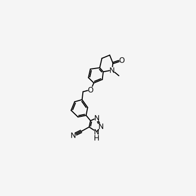 CN1C(=O)CCc2ccc(OCc3cccc(-c4nn[nH]c4C#N)c3)cc21